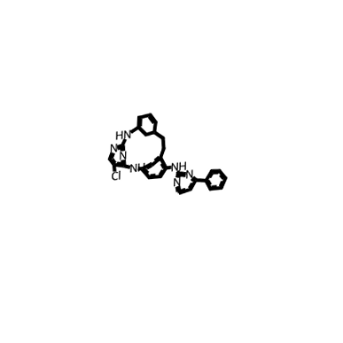 Clc1cnc2nc1Nc1ccc(Nc3nccc(-c4ccccc4)n3)c(c1)CCC1C=CC=C(C1)N2